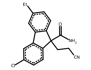 CCc1ccc2c(c1)-c1cc(Cl)ccc1C2(CCC#N)C(N)=O